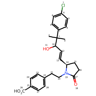 CC(C)(c1ccc(Cl)cc1)C(O)C=C[C@H]1CCC(=O)N1CCc1ccc(C(=O)O)cc1